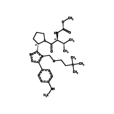 CBc1ccc(-c2cnc([C@@H]3CCCN3C(=O)[C@@H](NC(=O)OC)C(C)C)n2COCC[Si](C)(C)C)cc1